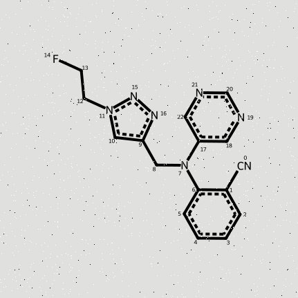 N#Cc1ccccc1N(Cc1cn(CCF)nn1)c1cncnc1